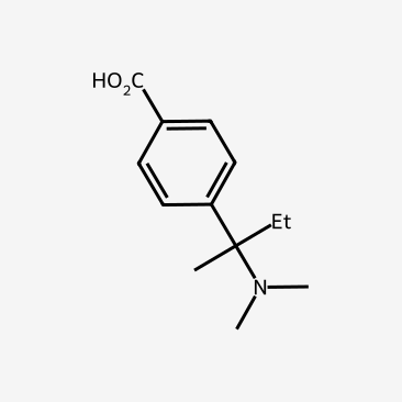 CCC(C)(c1ccc(C(=O)O)cc1)N(C)C